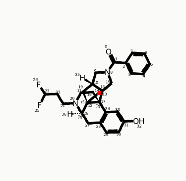 O=C(c1ccccc1)N1C[C@H]2C[C@@]34CCC1C2[C@@]31CCN(CCC(F)F)[C@@H]4Cc2ccc(O)cc21